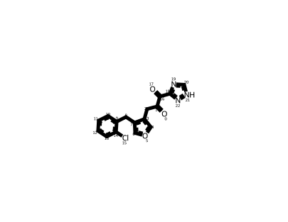 O=C(Cc1cocc1Cc1ccccc1Cl)C(=O)c1nc[nH]n1